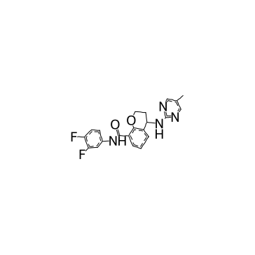 Cc1cnc(NC2CCOc3c(C(=O)Nc4ccc(F)c(F)c4)cccc32)nc1